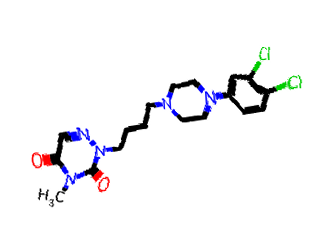 Cn1c(=O)cnn(CCCCN2CCN(c3ccc(Cl)c(Cl)c3)CC2)c1=O